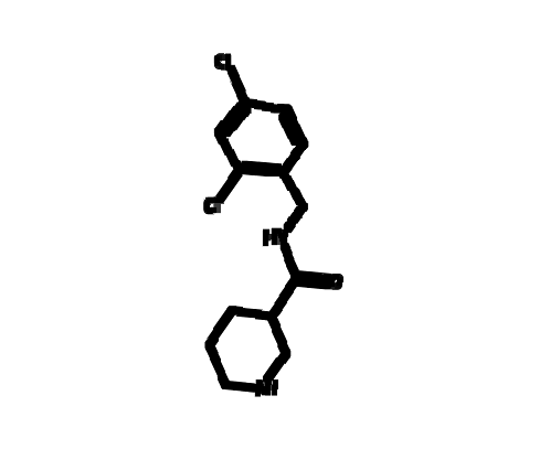 O=C(NCc1ccc(Cl)cc1Cl)C1CCCNC1